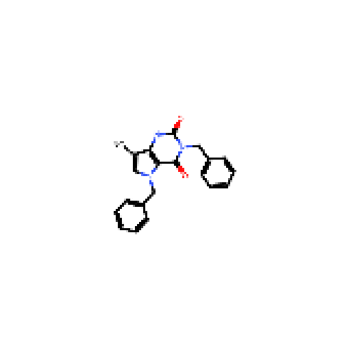 N#Cc1cn(Cc2ccccc2)c2c(=O)n(Cc3ccccc3)c(=O)[nH]c12